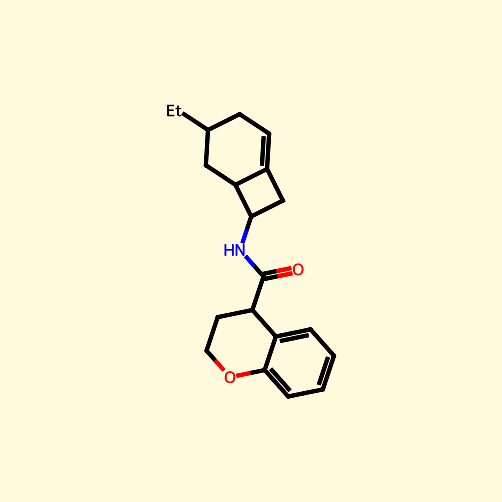 CCC1CC=C2CC(NC(=O)C3CCOc4ccccc43)C2C1